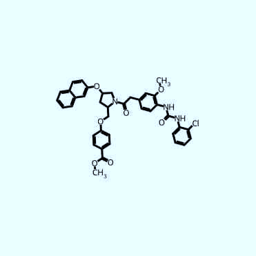 COC(=O)c1ccc(OCC2CC(Oc3ccc4ccccc4c3)CN2C(=O)Cc2ccc(NC(=O)Nc3ccccc3Cl)c(OC)c2)cc1